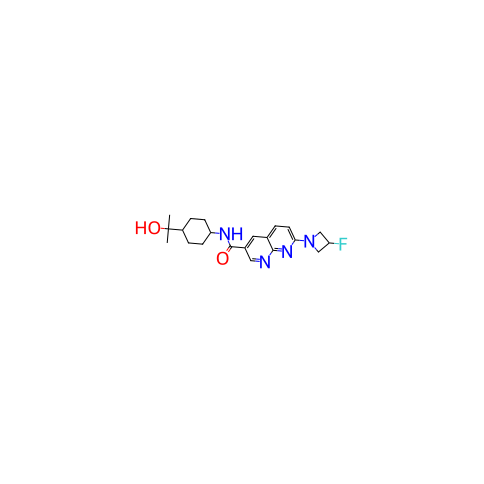 CC(C)(O)C1CCC(NC(=O)c2cnc3nc(N4CC(F)C4)ccc3c2)CC1